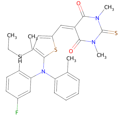 CC[SiH](CC)c1ccc(F)cc1N(c1ccc(C=C2C(=O)N(C)C(=S)N(C)C2=O)s1)c1ccccc1C